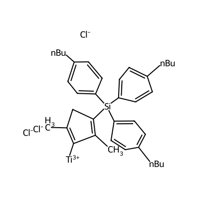 CCCCc1ccc([Si](C2=C(C)[C]([Ti+3])=C(C)C2)(c2ccc(CCCC)cc2)c2ccc(CCCC)cc2)cc1.[Cl-].[Cl-].[Cl-]